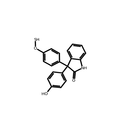 O=C1Nc2ccccc2C1(c1ccc(O)cc1)c1ccc(OS)cc1